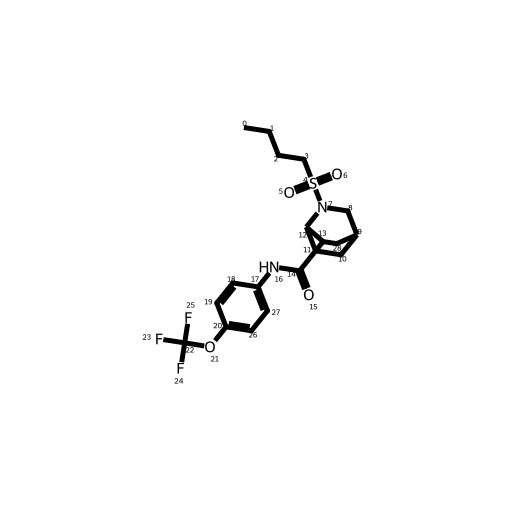 CCCCS(=O)(=O)N1CC2CCC1C(C(=O)Nc1ccc(OC(F)(F)F)cc1)C2